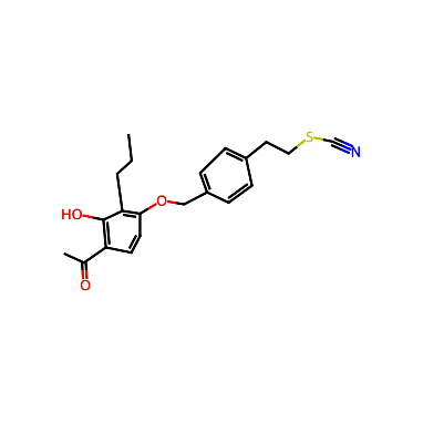 CCCc1c(OCc2ccc(CCSC#N)cc2)ccc(C(C)=O)c1O